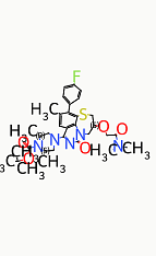 Cc1cc2c(N3C[C@@H](C)N(C(=O)OC(C)(C)C)[C@@H](C)C3)nc(=O)n3c2c(c1-c1ccc(F)cc1)SC[C@@H](OCC(=O)N(C)C)C3